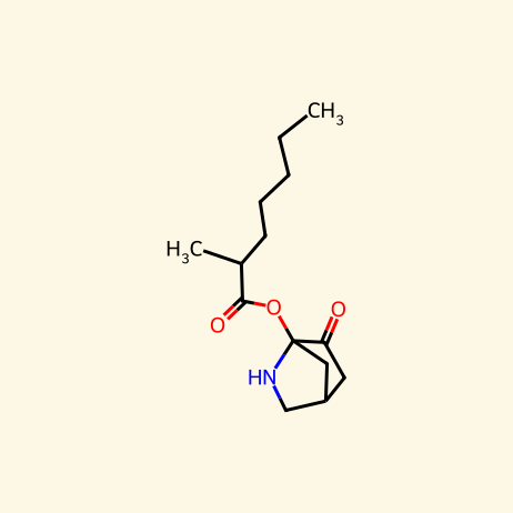 CCCCCC(C)C(=O)OC12CC(CN1)CC2=O